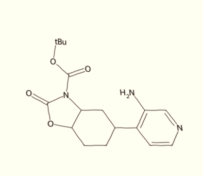 CC(C)(C)OC(=O)N1C(=O)OC2CCC(c3ccncc3N)CC21